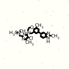 Cc1nc2cc(-c3cc(C)c4c(c3)CN(c3nc(CN(C)C)nc(C)c3Cl)CCO4)ccc2[nH]1